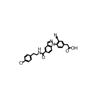 N#Cc1cc(CC(=O)O)ccc1-n1ncc2cc(C(=O)NCCc3ccc(Cl)cc3)ccc21